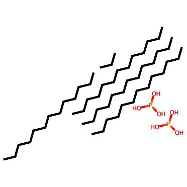 CCC.CCCCCCCCCCCCC.CCCCCCCCCCCCC.CCCCCCCCCCCCC.CCCCCCCCCCCCC.OP(O)O.OP(O)O